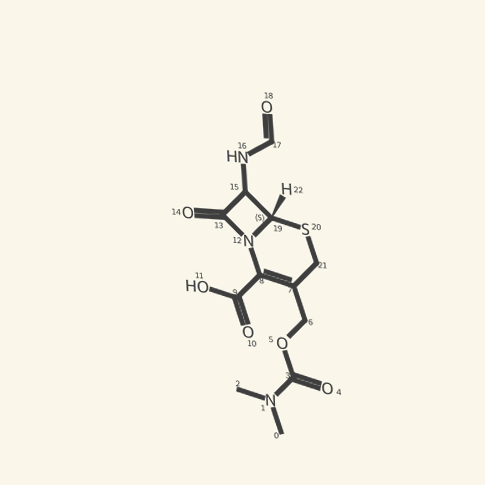 CN(C)C(=O)OCC1=C(C(=O)O)N2C(=O)C(NC=O)[C@@H]2SC1